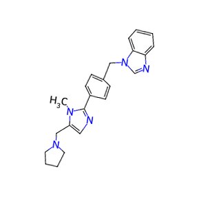 Cn1c(CN2CCCC2)cnc1-c1ccc(Cn2cnc3ccccc32)cc1